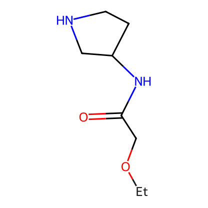 CCOCC(=O)NC1CCNC1